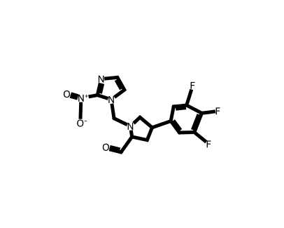 O=CC1CC(c2cc(F)c(F)c(F)c2)CN1Cn1ccnc1[N+](=O)[O-]